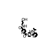 CC(C)Nc1cccnc1N1CCN(C(=O)c2ccc(C(=O)NCCCO)cn2)CC1